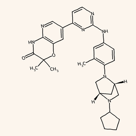 Cc1cc(Nc2nccc(-c3cnc4c(c3)OC(C)(C)C(=O)N4)n2)ccc1N1C[C@@H]2C[C@H]1CN2C1CCCC1